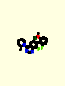 COc1cccc(F)c1-c1c(Cl)cc2c(N3CCCC[C@@H]3C)ncnc2c1F